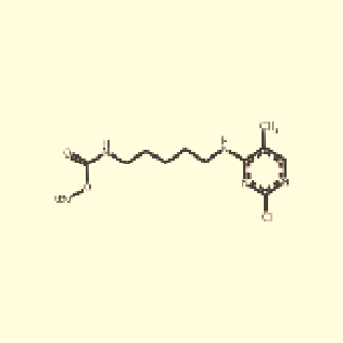 Cc1cnc(Cl)nc1NCCCCCNC(=O)OC(C)(C)C